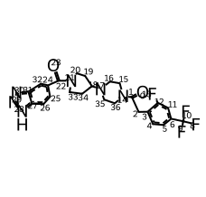 O=C(Cc1ccc(C(F)(F)F)cc1F)N1CCN(C2CCN(C(=O)c3ccc4[nH]nnc4c3)CC2)CC1